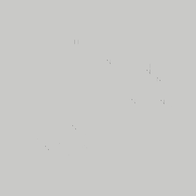 Nc1n[nH]c2c(CN3CCC(O)C3)cc(-c3ccc4c(c3)CN(C3CCC(=O)NC3=O)C4=O)nc12